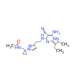 CCc1c(C)nn2c(N)c(C#N)c(NCCc3ccn(C4(CNC(C)=O)CC4)n3)nc12